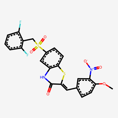 COc1ccc(C=C2Sc3ccc(S(=O)(=O)Cc4c(F)cccc4F)cc3NC2=O)cc1[N+](=O)[O-]